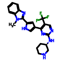 Cn1c(-c2cc(-c3nc(N[C@H]4CCCNC4)ncc3C(F)(F)F)c[nH]2)nc2ccccc21